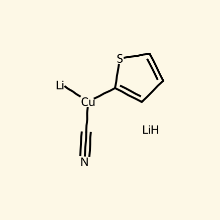 [LiH].[Li][Cu]([C]#N)[c]1cccs1